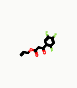 C=CCOC(=O)CC(=O)c1cc(F)c(F)cc1F